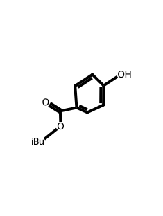 [CH2]CC(C)OC(=O)c1ccc(O)cc1